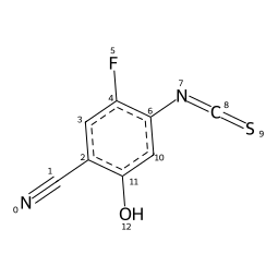 N#Cc1cc(F)c(N=C=S)cc1O